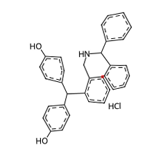 Cl.Oc1ccc(C(c2ccc(O)cc2)c2ccccc2CNC(c2ccccc2)c2ccccc2)cc1